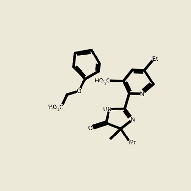 CCc1cnc(C2=NC(C)(C(C)C)C(=O)N2)c(C(=O)O)c1.O=C(O)COc1ccccc1